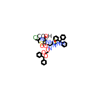 O=C(CO/N=C(\C(=O)NC1C(=O)N2C(C(=O)O)=C(CCl)C[S+]([O-])[C@@H]12)c1csc(NC(c2ccccc2)(c2ccccc2)c2ccccc2)n1)OC(c1ccccc1)c1ccccc1